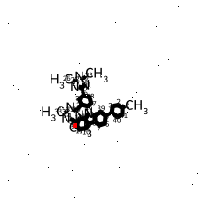 Cc1ccc(-c2ccc3c4ccccc4n(-c4ccc(-c5nc(C)nc(C)n5)cc4-c4nc(C)nc(C)n4)c3c2)cc1